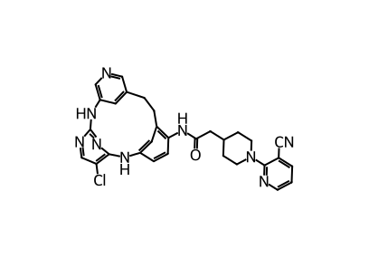 N#Cc1cccnc1N1CCC(CC(=O)Nc2ccc3cc2CCc2cncc(c2)Nc2ncc(Cl)c(n2)N3)CC1